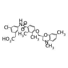 Cc1ccc2c(c1)O[C@H](COc1ccc(S(=O)(=O)Nc3cc(Cl)cc(CC(=O)O)c3)c(C)c1C)CN2C